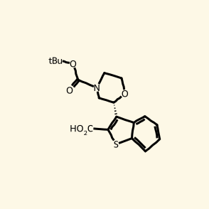 CC(C)(C)OC(=O)N1CCO[C@H](c2c(C(=O)O)sc3ccccc23)C1